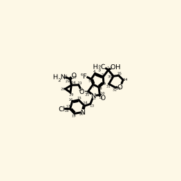 CC(O)(c1cc(F)c2c(c1)C(=O)N(Cc1ccc(Cl)cn1)[C@@H]2OCC1(C(N)=O)CC1)C1CCOCC1